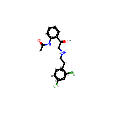 CC(=O)Nc1ccccc1C(=O)CNCCc1ccc(Cl)cc1Br